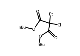 CCCCOC(=O)C(Cl)(CC)C(=O)OCCCC